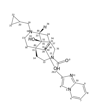 O=C(Cc1cn2ccccc2n1)N1CC[C@]23CCN(CC4CC4)[C@H](Cc4ccc(O)cc42)[C@]3(O)CC1